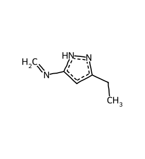 C=Nc1cc(CC)n[nH]1